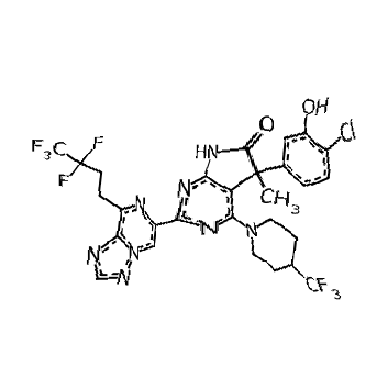 CC1(c2ccc(Cl)c(O)c2)C(=O)Nc2nc(-c3cn4ncnc4c(CCC(F)(F)C(F)(F)F)n3)nc(N3CCC(C(F)(F)F)CC3)c21